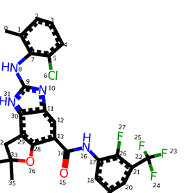 Cc1cccc(Cl)c1Nc1nc2cc(C(=O)Nc3cccc(C(F)(F)F)c3F)c3c(c2[nH]1)CC(C)(C)O3